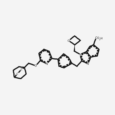 O=C(O)c1ccc2nc(Cc3ccc(-c4cccc(OCC56CCC(CC5)CC6)n4)cc3)n(C[C@@H]3CCO3)c2c1